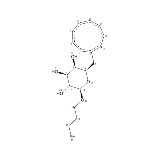 O[C@H]1[C@@H](O)[C@@H](Cc2cccccccs2)O[C@@H](OCCCS)[C@@H]1O